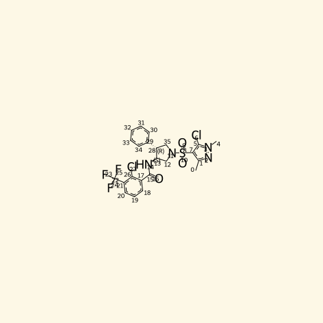 Cc1nn(C)c(Cl)c1S(=O)(=O)N1C[C@@H](NC(=O)c2cccc(C(F)(F)F)c2Cl)[C@H](c2ccccc2)C1